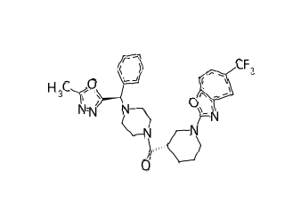 Cc1nnc([C@@H](c2ccccc2)N2CCN(C(=O)[C@H]3CCCN(c4nc5cc(C(F)(F)F)ccc5o4)C3)CC2)o1